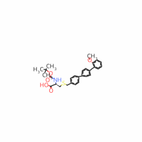 COc1ccccc1-c1ccc(-c2ccc(CSC[C@H](NC(=O)OC(C)(C)C)C(=O)O)cc2)cc1